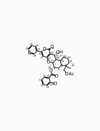 CC(=O)OCC1(C)C2C[C@H](OC(=O)c3ccccc3Cl)[C@@]3(C)Oc4cc(-c5cccnc5)oc(=O)c4[C@H](O)C3[C@@]2(C)CC[C@@H]1C